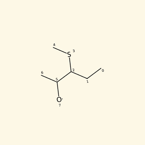 CCC(SC)C(C)[O]